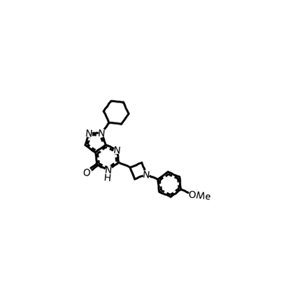 COc1ccc(N2CC(c3nc4c(cnn4C4CCCCC4)c(=O)[nH]3)C2)cc1